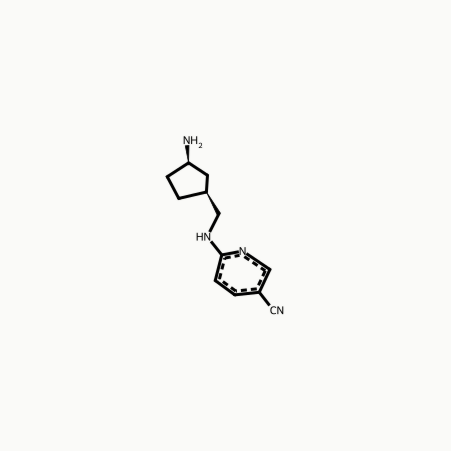 N#Cc1ccc(NC[C@H]2CC[C@@H](N)C2)nc1